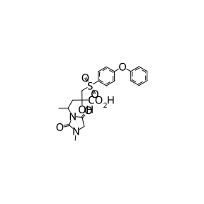 CC(CC(O)(CS(=O)(=O)c1ccc(Oc2ccccc2)cc1)C(=O)O)N1C(=O)CN(C)C1=O